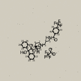 O=C(NCCC[N+]12CCC(CC1)[C@@H](OC(=O)C(O)(c1ccccc1)c1ccccc1)C2)c1ccc(C(F)(F)F)cc1.O=C([O-])C(F)(F)F